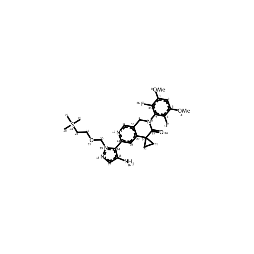 COc1cc(OC)c(F)c(N2Cc3cnc(-c4c(N)cnn4COCCS(C)(C)C)cc3C3(CC3)C2=O)c1F